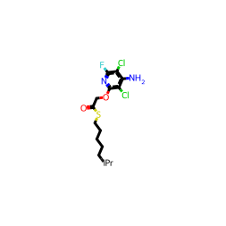 CC(C)CCCCCSC(=O)COc1nc(F)c(Cl)c(N)c1Cl